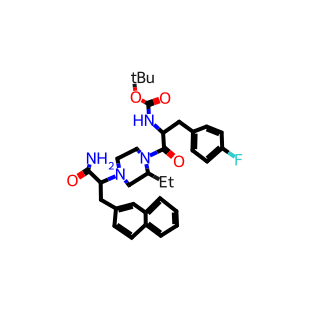 CCC1CN(C(Cc2ccc3ccccc3c2)C(N)=O)CCN1C(=O)C(Cc1ccc(F)cc1)NC(=O)OC(C)(C)C